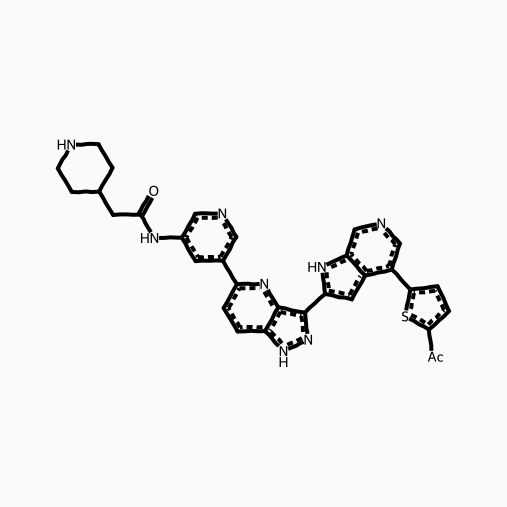 CC(=O)c1ccc(-c2cncc3[nH]c(-c4n[nH]c5ccc(-c6cncc(NC(=O)CC7CCNCC7)c6)nc45)cc23)s1